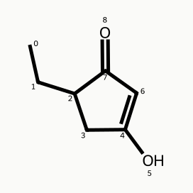 CCC1CC(O)=CC1=O